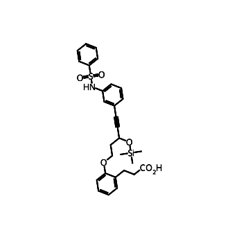 C[Si](C)(C)OC(C#Cc1cccc(NS(=O)(=O)c2ccccc2)c1)CCOc1ccccc1CCC(=O)O